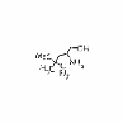 COC(C)(C)CC(N)CO